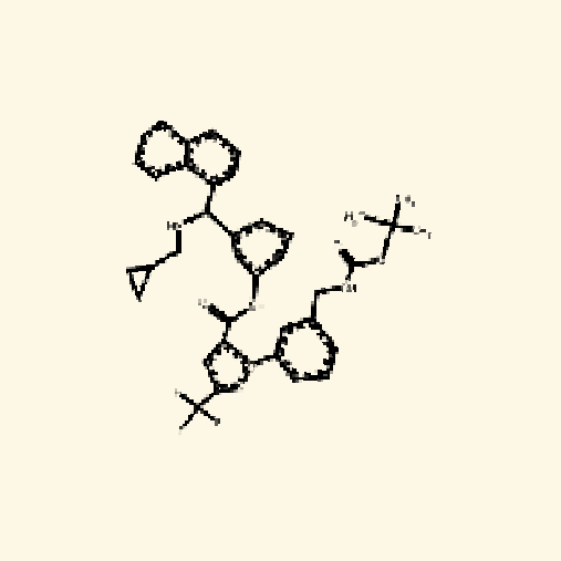 CC(C)(C)OC(=O)NCc1cccc(-n2nc(C(F)(F)F)cc2C(=O)Nc2cccc(C(NCC3CC3)c3cccc4ccccc34)c2)c1